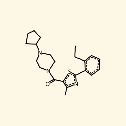 CCc1ccccc1-c1nc(C)c(C(=O)N2CCN(C3CCCC3)CC2)s1